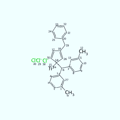 Cc1cccc(C(c2cccc(C)c2)[C]2([Ti+3])C=CC(Cc3ccccc3)=C2)c1.[Cl-].[Cl-].[Cl-]